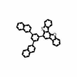 c1ccc2cc(-c3cc(-c4ccc5ccccc5c4)cc(-c4cc5c6ccccc6oc5c5c4sc4ccccc45)c3)ccc2c1